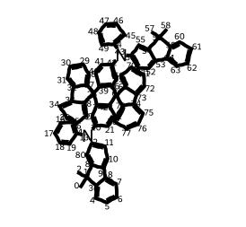 CC1(C)c2ccccc2-c2ccc(N(c3ccccc3)c3ccc4c(c3)C3(c5ccccc5-c5ccccc53)c3ccc(N(c5ccccc5)c5ccc6c(c5)C(C)(C)c5ccccc5-6)cc3C43c4ccccc4-c4ccccc43)cc21